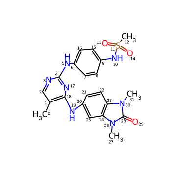 Cc1cnc(Nc2ccc(NS(C)(=O)=O)cc2)nc1Nc1ccc2c(c1)n(C)c(=O)n2C